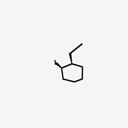 CC[C@H]1CCCC[C@H]1I